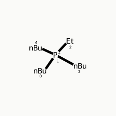 CCCC[P+](CC)(CCCC)CCCC